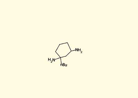 CCCCC1(N)CCCC(N)C1